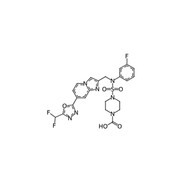 O=C(O)N1CCN(S(=O)(=O)N(Cc2cn3ccc(-c4nnc(C(F)F)o4)cc3n2)c2cccc(F)c2)CC1